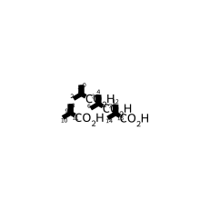 C=C(C)C(=O)O.C=C(C)C(=O)O.C=C(C)C(=O)O.C=C(C)C(=O)O